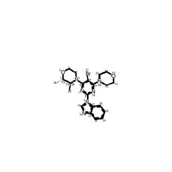 C[C@@H]1OCCN(c2nc(-n3cnc4ccccc43)nc(N3CCOCC3)c2Br)[C@H]1C